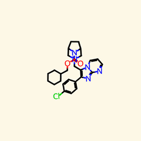 O=C(OCC1CCCCC1)N1C2CCC1CN(Cc1c(-c3ccc(Cl)cc3)nc3ncccn13)C2